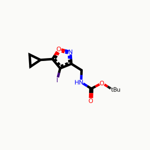 CC(C)(C)OC(=O)NCc1noc(C2CC2)c1I